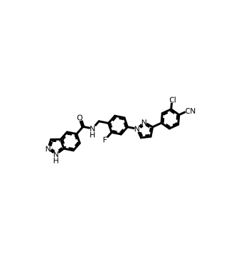 N#Cc1ccc(-c2ccn(-c3ccc(CNC(=O)c4ccc5[nH]ncc5c4)c(F)c3)n2)cc1Cl